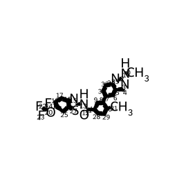 CNc1ncc2cc(-c3cc(C(=O)Nc4nc5ccc(OC(F)(F)F)cc5s4)ccc3C)ccc2n1